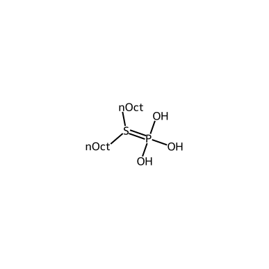 CCCCCCCCS(CCCCCCCC)=P(O)(O)O